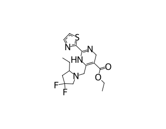 CCOC(=O)C1=C(CN2CC(F)(F)CC2CC)NC(c2nccs2)=NC1